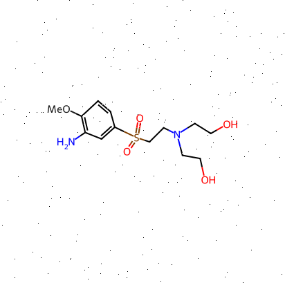 COc1ccc(S(=O)(=O)CCN(CCO)CCO)cc1N